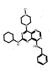 [O-][S+]1CCN(c2nc(NC3CCCCC3)nc3c(NCc4ccccc4)ncnc23)CC1